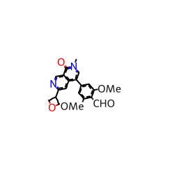 COc1cc(-c2cn(C)c(=O)c3cnc(C4COC4)cc23)cc(OC)c1C=O